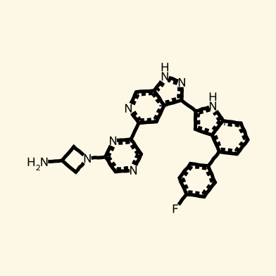 NC1CN(c2cncc(-c3cc4c(-c5cc6c(-c7ccc(F)cc7)cccc6[nH]5)n[nH]c4cn3)n2)C1